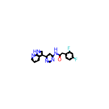 O=C(Cc1ccc(F)cc1F)Nc1cc(-c2c[nH]c3ncccc23)ncn1